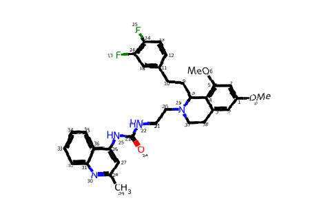 COc1cc2c(c(OC)c1)C(CCc1ccc(F)c(F)c1)N(CCNC(=O)Nc1cc(C)nc3ccccc13)CC2